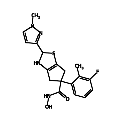 Cc1c(F)cccc1C1(C(=O)NO)CC2=C(C1)SC(c1ccn(C)n1)N2